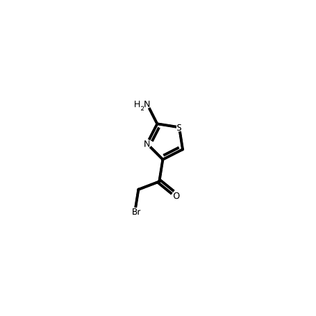 Nc1nc(C(=O)CBr)cs1